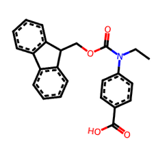 CCN(C(=O)OCC1c2ccccc2-c2ccccc21)c1ccc(C(=O)O)cc1